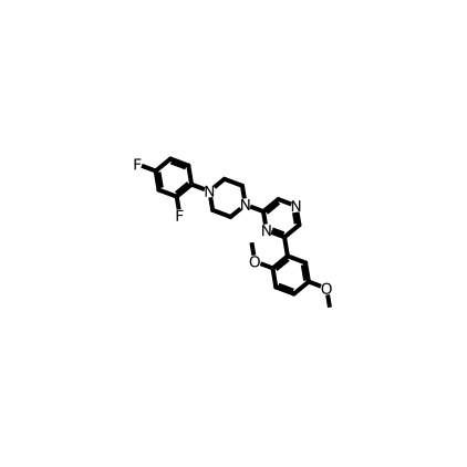 COc1ccc(OC)c(-c2cncc(N3CCN(c4ccc(F)cc4F)CC3)n2)c1